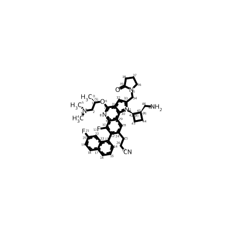 C[C@@H](CN(C)C)Oc1nc2c(F)c(-c3cccc4ccc(F)cc34)c(CCC#N)cc2c2c1cc(CN1CCCC1=O)n2[C@@H]1CC[C@@H]1CN